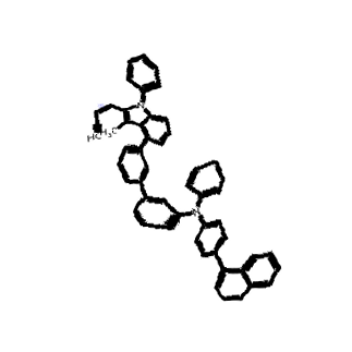 C#C/C=C\c1c(C)c2c(-c3cccc(-c4cccc(N(c5ccccc5)c5ccc(-c6cccc7ccccc67)cc5)c4)c3)cccc2n1-c1ccccc1